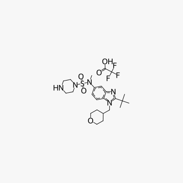 CN(c1ccc2c(c1)nc(C(C)(C)C)n2CC1CCOCC1)S(=O)(=O)N1CCNCC1.O=C(O)C(F)(F)F